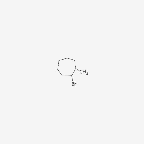 CC1CCCCCC1Br